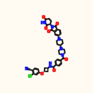 N#Cc1ccc(O[C@H]2C[C@H](NC(=O)c3ccc(C(=O)N4CCN(C5CCN(c6ccc7c(c6)C(=O)N(C6CCC(=O)NC6=O)C7=O)CC5)CC4)cc3)C2)cc1Cl